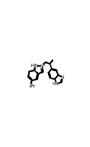 CC(C)C1=CCC2N[N+](CC(C)C3=CC4N=CNC4C=C3)=CC2=C1